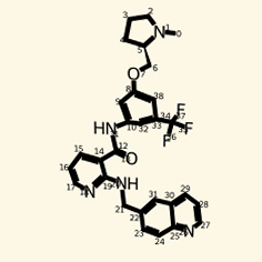 CN1CCC[C@@H]1COc1cc(NC(=O)c2cccnc2NCc2ccc3ncccc3c2)cc(C(F)(F)F)c1